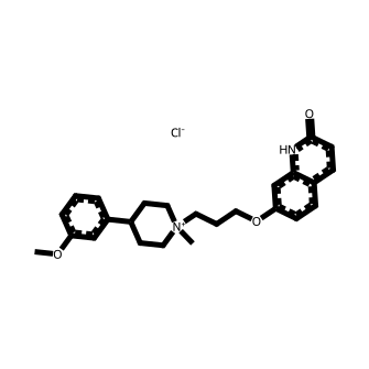 COc1cccc(C2CC[N+](C)(CCCOc3ccc4ccc(=O)[nH]c4c3)CC2)c1.[Cl-]